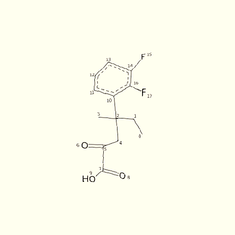 CCC(C)(CC(=O)C(=O)O)c1cccc(F)c1F